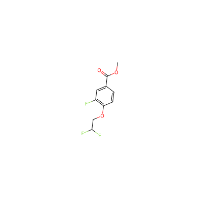 COC(=O)c1ccc(OCC(F)F)c(F)c1